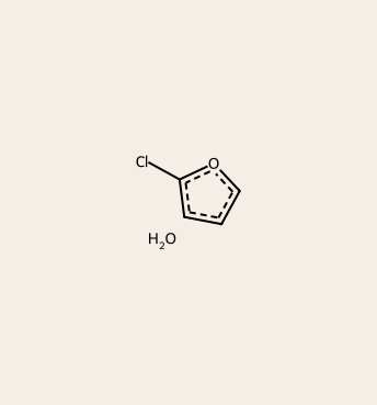 Clc1ccco1.O